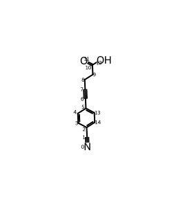 N#Cc1ccc(C#CCCC(=O)O)cc1